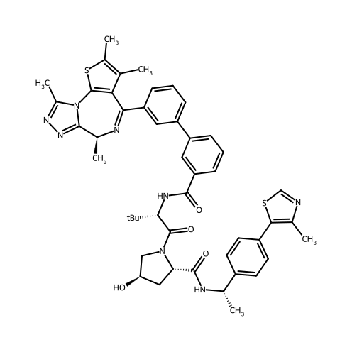 Cc1ncsc1-c1ccc([C@H](C)NC(=O)[C@@H]2C[C@@H](O)CN2C(=O)[C@@H](NC(=O)c2cccc(-c3cccc(C4=N[C@@H](C)c5nnc(C)n5-c5sc(C)c(C)c54)c3)c2)C(C)(C)C)cc1